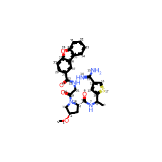 CO[C@@H]1C[C@@H](C(=O)NC(C)c2cc(C(=N)N)cs2)N(C(=O)CNC(=O)c2ccc3oc4ccccc4c3c2)C1